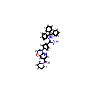 N=N/C(=N\NC(c1ccccc1)(c1ccccc1)c1ccccc1)c1ccc(N2CCOc3cc(C(=O)N4CCCCC4)cnc32)cc1